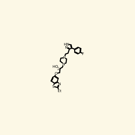 CCc1nc2cc(OC[C@H](O)CN3CCN(CCc4n[nH]cc4-c4ccc(F)cc4)CC3)ccc2s1